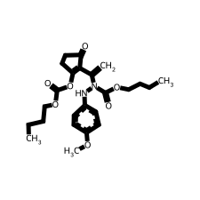 C=C(C1=C(OC(=O)OCCCC)CCC1=O)N(Nc1ccc(OC)cc1)C(=O)OCCCC